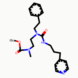 CN(CCN(CCc1ccccc1)C(=O)NCCCc1ccncc1)C(=O)OC(C)(C)C